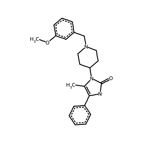 COc1cccc(CN2CCC(N3C(=O)[N]C(c4ccccc4)=C3C)CC2)c1